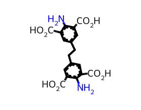 Nc1c(C(=O)O)cc(CCc2cc(C(=O)O)c(N)c(C(=O)O)c2)cc1C(=O)O